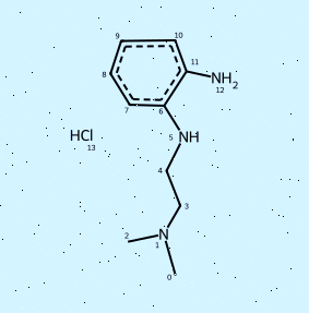 CN(C)CCNc1ccccc1N.Cl